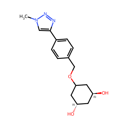 Cn1cc(-c2ccc(COC3C[C@@H](O)C[C@H](O)C3)cc2)nn1